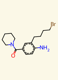 Nc1ccc(C(=O)N2CCCCC2)cc1CCCCBr